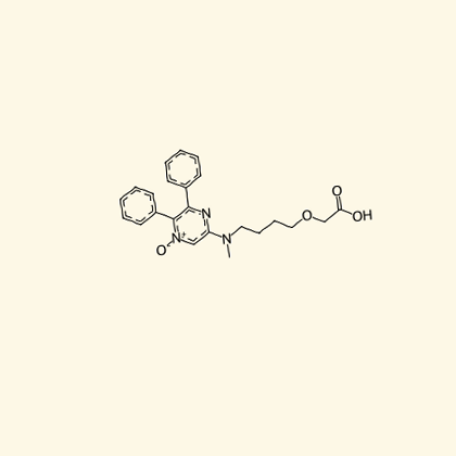 CN(CCCCOCC(=O)O)c1c[n+]([O-])c(-c2ccccc2)c(-c2ccccc2)n1